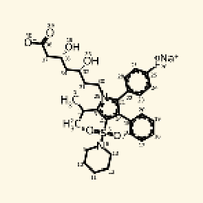 CC(C)c1c(S(=O)(=O)N2CCCCC2)c(-c2ccccc2)c(-c2ccc(F)cc2)n1CC[C@@H](O)C[C@@H](O)CC(=O)[O-].[Na+]